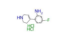 Cl.Cl.Nc1cc(F)ccc1C1=CCNCC1